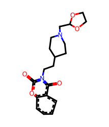 O=c1oc2ccccc2c(=O)n1CCC1CCN(CC2OCCO2)CC1